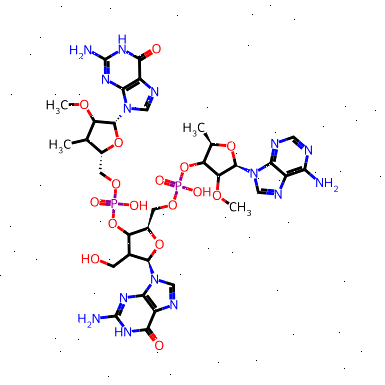 COC1C(OP(=O)(O)OC[C@H]2O[C@@H](n3cnc4c(=O)[nH]c(N)nc43)C(CO)C2OP(=O)(O)OC[C@H]2O[C@@H](n3cnc4c(=O)[nH]c(N)nc43)C(OC)C2C)[C@@H](C)O[C@H]1n1cnc2c(N)ncnc21